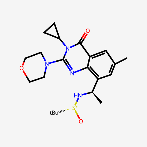 Cc1cc([C@@H](C)N[S@+]([O-])C(C)(C)C)c2nc(N3CCOCC3)n(C3CC3)c(=O)c2c1